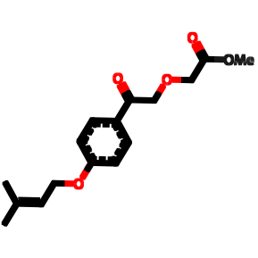 COC(=O)COCC(=O)c1ccc(OCC=C(C)C)cc1